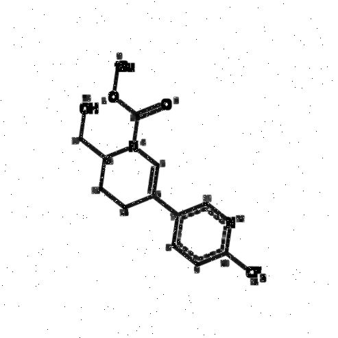 CC(C)(C)OC(=O)N1C=C(c2ccc(C(F)(F)F)nc2)CCC1CO